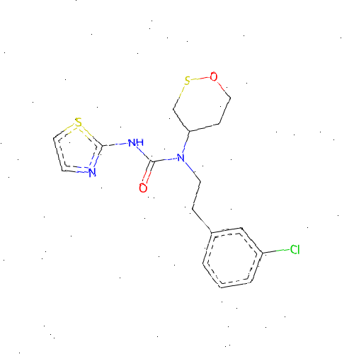 O=C(Nc1nccs1)N(CCc1cccc(Cl)c1)C1CCOSC1